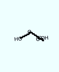 CCC(O)COC(=O)CCCCCCCC1OC1CCCCCCCCO